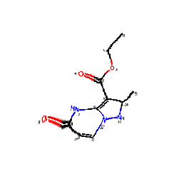 CCOC(=O)C1=C2NC(=O)C=CN2NC1C